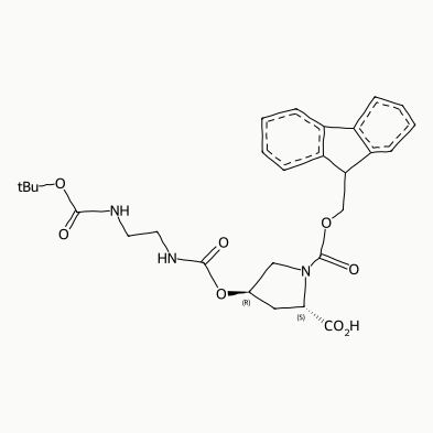 CC(C)(C)OC(=O)NCCNC(=O)O[C@@H]1C[C@@H](C(=O)O)N(C(=O)OCC2c3ccccc3-c3ccccc32)C1